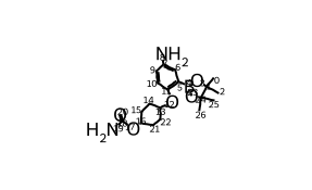 CC1(C)OB(c2cc(N)ccc2OC2CCC(OC(N)=O)CC2)OC1(C)C